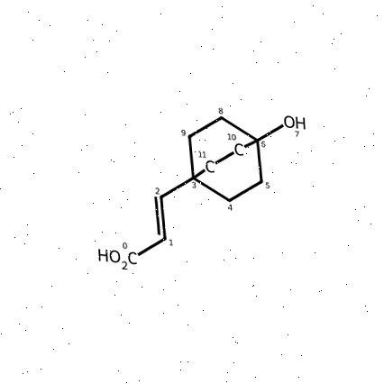 O=C(O)/C=C/C12CCC(O)(CC1)CC2